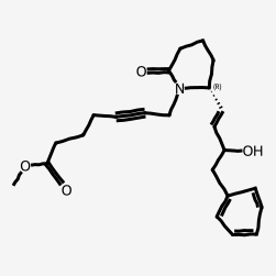 COC(=O)CCCC#CCN1C(=O)CCC[C@@H]1C=CC(O)Cc1ccccc1